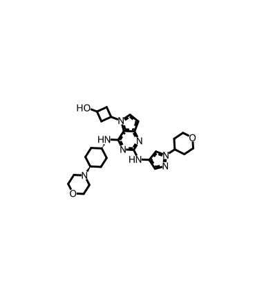 OC1CC(n2ccc3nc(Nc4cnn(C5CCOCC5)c4)nc(N[C@H]4CC[C@H](N5CCOCC5)CC4)c32)C1